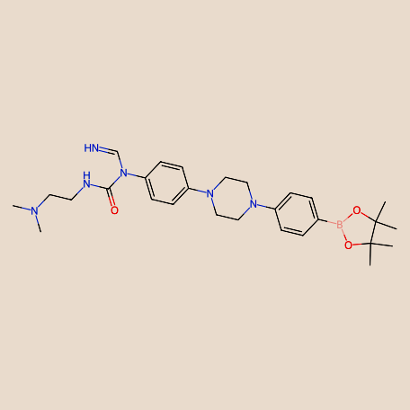 CN(C)CCNC(=O)N(C=N)c1ccc(N2CCN(c3ccc(B4OC(C)(C)C(C)(C)O4)cc3)CC2)cc1